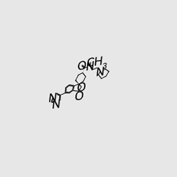 CN(CCN1CCCCC1)C(=O)[C@H]1CC[C@@]2(CC1)OC(=O)c1cc(-c3cncnc3)ccc12